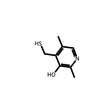 Cc1cnc(C)c(O)c1CS